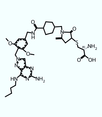 C=C1CC(SC[C@H](N)C(=O)O)C(=O)N1CC1CCC(C(=O)NCc2cc(OC)c(Cn3cc4nc(N)nc(NCCCC)c4n3)c(OC)c2)CC1